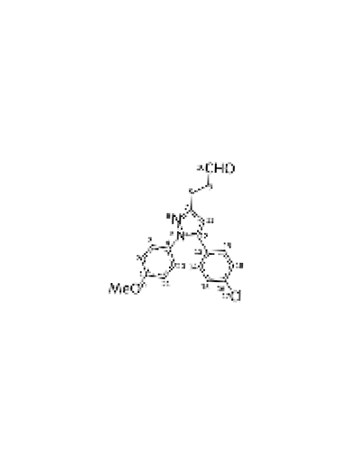 COc1ccc(-n2nc(CCC=O)cc2-c2ccc(Cl)cc2)cc1